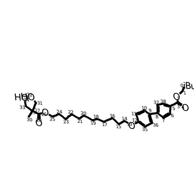 CCC(C)COC(=O)c1ccc(-c2ccc(OCCCCCCCCCCCCOC(=O)C(C)(CO)CO)cc2)cc1